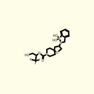 O=C(OC(CO)C(F)(F)F)N1CCC2(CC1)CC(N1Cc3ccccc3S1(O)O)CO2